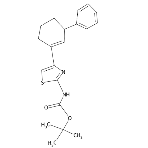 CC(C)(C)OC(=O)Nc1nc(C2=CC(c3ccccc3)CCC2)cs1